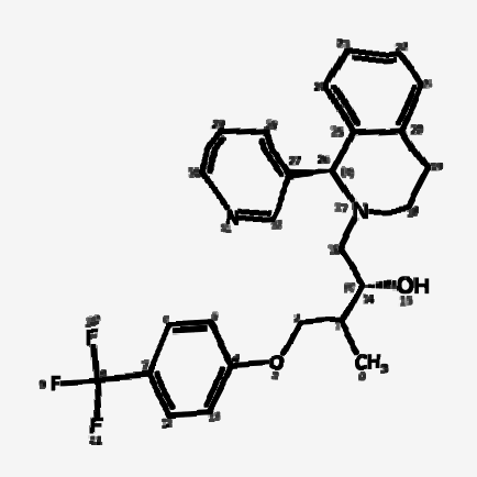 CC(COc1ccc(C(F)(F)F)cc1)[C@@H](O)CN1CCc2ccccc2[C@@H]1c1cccnc1